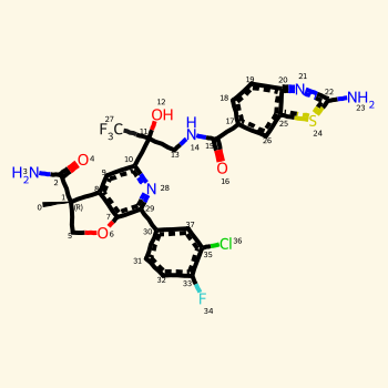 C[C@]1(C(N)=O)COc2c1cc(C(O)(CNC(=O)c1ccc3nc(N)sc3c1)C(F)(F)F)nc2-c1ccc(F)c(Cl)c1